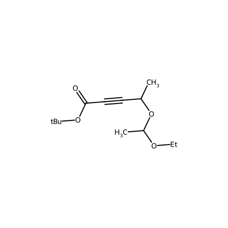 CCOC(C)OC(C)C#CC(=O)OC(C)(C)C